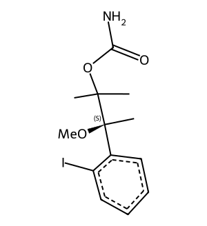 CO[C@@](C)(c1ccccc1I)C(C)(C)OC(N)=O